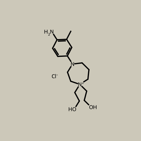 Cc1cc(N2CCC[N+](CCO)(CCO)CC2)ccc1N.[Cl-]